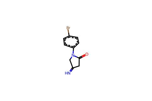 N=C1CC(=O)N(c2ccc(Br)cc2)C1